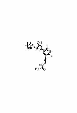 CC(C)(C)C(C)(C)[Si](C)(C)OC[C@H]1OC(n2cc(C#CCNC(=O)C(F)(F)F)c(=O)[nH]c2=O)CC1O